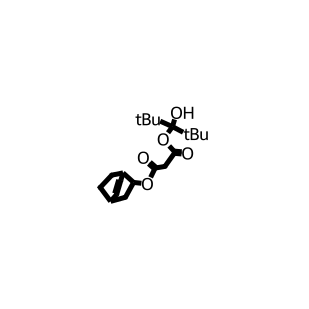 CC(C)(C)C(O)(OC(=O)CC(=O)OC1CC2C=CC1CC2)C(C)(C)C